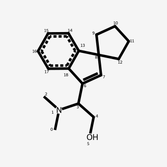 CN(C)C(CO)C1=CC2(CCCC2)c2ccccc21